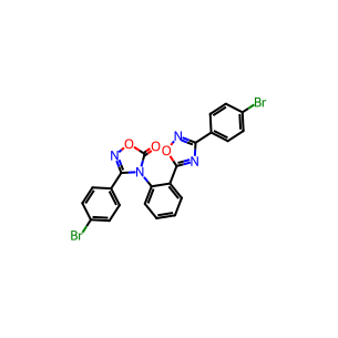 O=c1onc(-c2ccc(Br)cc2)n1-c1ccccc1-c1nc(-c2ccc(Br)cc2)no1